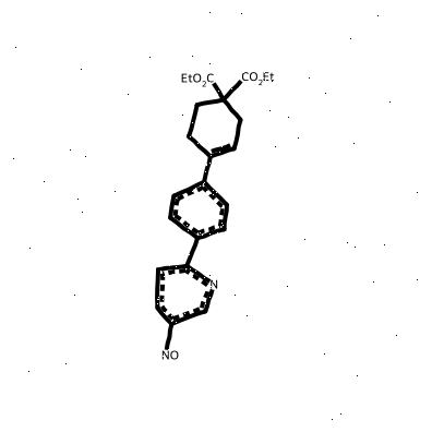 CCOC(=O)C1(C(=O)OCC)CC=C(c2ccc(-c3ccc(N=O)cn3)cc2)CC1